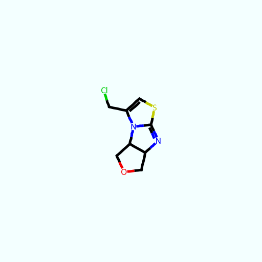 ClCC1=CSC2=NC3COCC3N12